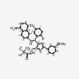 CCc1ccc(F)c(C(Nc2ccc3c(N)nccc3c2)c2nc(-c3cccc(NC(C)=O)c3)nn2C)c1.O=C(O)C(F)(F)F